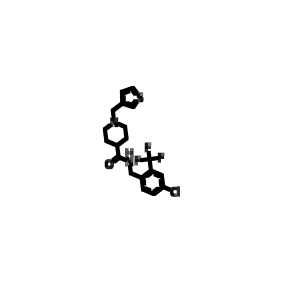 O=C(NCc1ccc(Cl)cc1C(F)(F)F)C1CCN(Cc2ccsc2)CC1